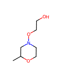 CC1CN(OCCO)CCO1